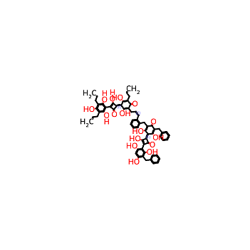 C=CCC1=C(O)/C(=C2/C(=O)C(c3c(O)c(CC=C)c(O)c(CC=C)c3O)=C2O)C(O)=C(C/C=C\c2ccccc2CC2=C(O)/C(=C3/C(=O)C(c4c(O)cc(O)c(Cc5ccccc5)c4O)=C3O)C(O)=C(Cc3ccccc3)C2=O)C1=O